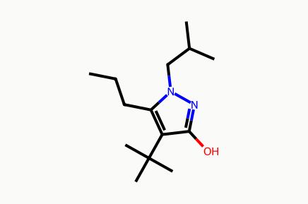 CCCc1c(C(C)(C)C)c(O)nn1CC(C)C